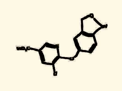 CCOC(=O)c1cnc(Oc2ccc3c(c2)COB3)c(Cl)c1